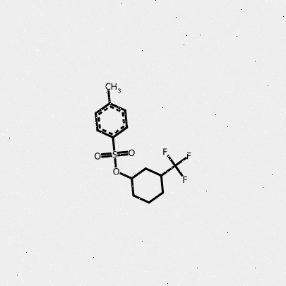 Cc1ccc(S(=O)(=O)OC2CCCC(C(F)(F)F)C2)cc1